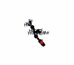 COC(=O)NC(C(=O)N[C@@H](Cc1ccc(C#Cc2ccc(N3CC4CCC(C3)N4C3COC3)nc2)cc1)[C@@H](O)CNCc1ccc(/C(C=N)=C/NC(F)F)cc1)C(C)(C)C(F)(F)F